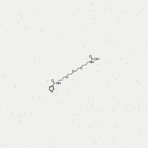 O=C(O)NCCCOCCOCCOCCCNC(=O)n1ccnc1